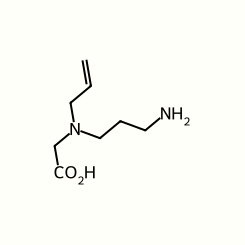 C=CCN(CCCN)CC(=O)O